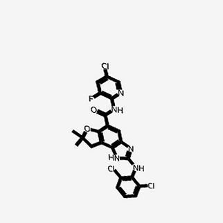 CC1(C)Cc2c(c(C(=O)Nc3ncc(Cl)cc3F)cc3nc(Nc4c(Cl)cccc4Cl)[nH]c23)O1